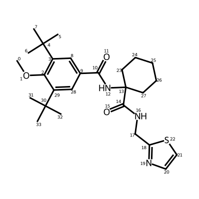 COc1c(C(C)(C)C)cc(C(=O)NC2(C(=O)NCc3nccs3)CCCCC2)cc1C(C)(C)C